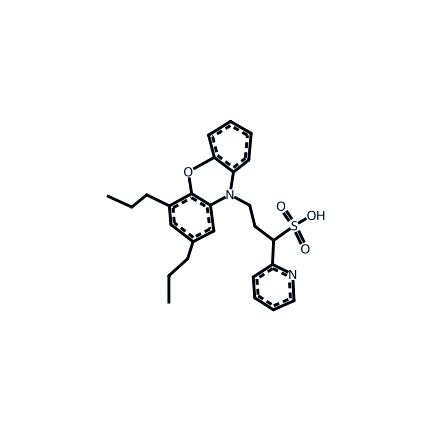 CCCc1cc(CCC)c2c(c1)N(CCC(c1ccccn1)S(=O)(=O)O)c1ccccc1O2